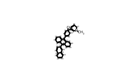 CN1C=C(C2(C)C=CC(c3c4ccccc4c(-c4ccc5ccccc5c4)c4ccccc34)=CC2)C=CC1